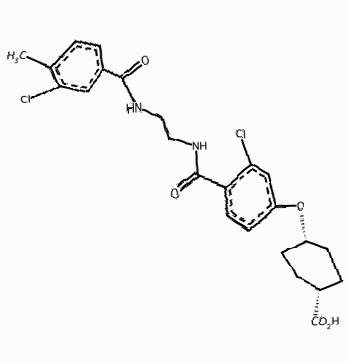 Cc1ccc(C(=O)NCCNC(=O)c2ccc(O[C@H]3CC[C@@H](C(=O)O)CC3)cc2Cl)cc1Cl